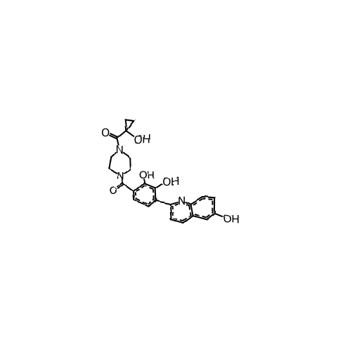 O=C(c1ccc(-c2ccc3cc(O)ccc3n2)c(O)c1O)N1CCN(C(=O)C2(O)CC2)CC1